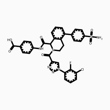 NS(=O)(=O)c1ccc(-c2cccc3c2CCN(C(=O)c2cn(-c4cccc(Cl)c4F)nn2)C3C(=O)Nc2ccc(C(=O)O)cc2)cc1